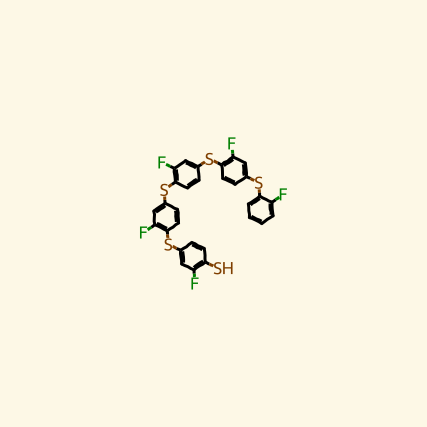 Fc1cc(Sc2ccc(Sc3ccc(Sc4ccc(Sc5ccccc5F)cc4F)cc3F)cc2F)ccc1S